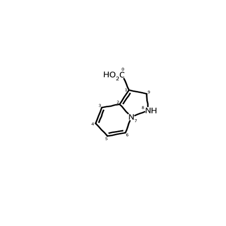 O=C(O)C1=C2C=CC=CN2NC1